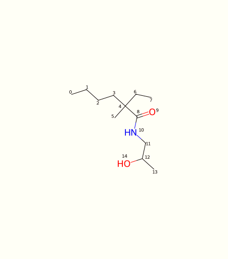 CCCCC(C)(CC)C(=O)NCC(C)O